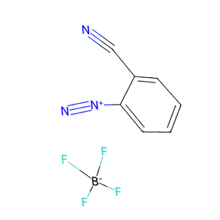 F[B-](F)(F)F.N#Cc1ccccc1[N+]#N